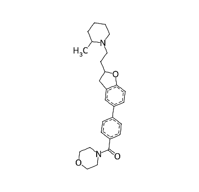 CC1CCCCN1CCC1Cc2cc(-c3ccc(C(=O)N4CCOCC4)cc3)ccc2O1